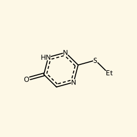 CCSc1ncc(=O)[nH]n1